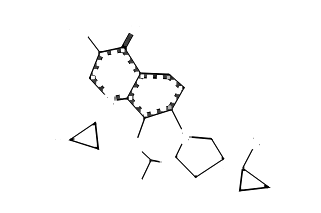 NC1([C@@H]2CCN(c3ccc4c(=O)c(C(=O)O)cn([C@@H]5C[C@@H]5F)c4c3OC(F)F)C2)CC1